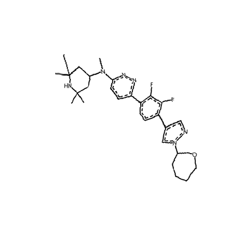 CN(c1ccc(-c2ccc(-c3cnn(C4CCCCO4)c3)c(F)c2F)nn1)C1CC(C)(C)NC(C)(C)C1